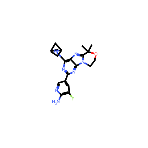 CC1(C)OCCn2c1nc1c(N3CC4CC3C4)nc(-c3cnc(N)c(F)c3)nc12